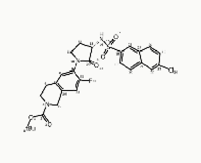 CC(C)(C)OC(=O)N1CCc2cc(N3CC[C@H](NS(=O)(=O)c4ccc5cc(Cl)ccc5c4)C3=O)c(F)cc2C1